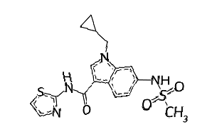 CS(=O)(=O)Nc1ccc2c(C(=O)Nc3nccs3)cn(CC3CC3)c2c1